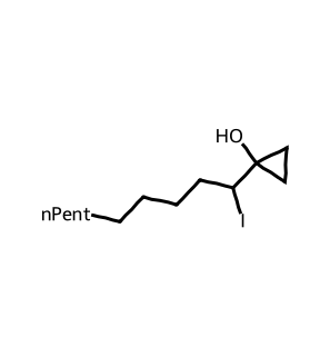 CCCCCCCCCC(I)C1(O)CC1